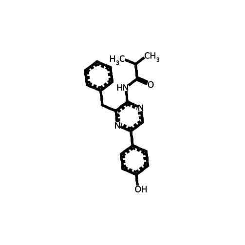 CC(C)C(=O)Nc1ncc(-c2ccc(O)cc2)nc1Cc1ccccc1